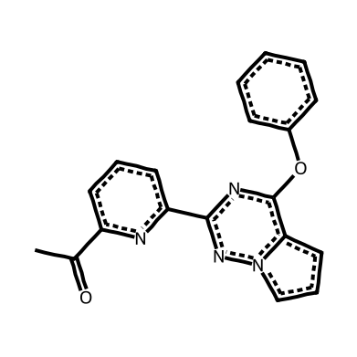 CC(=O)c1cccc(-c2nc(Oc3ccccc3)c3cccn3n2)n1